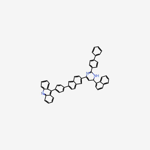 C1=C(c2ccc3cc(-c4ccc(-c5c6ccccc6nc6ccccc56)cc4)ccc3c2)N=C(c2ccc(-c3ccccc3)cc2)NC1c1cccc2ccccc12